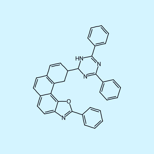 C1=CC(C2N=C(c3ccccc3)N=C(c3ccccc3)N2)Cc2c1ccc1ccc3nc(-c4ccccc4)oc3c21